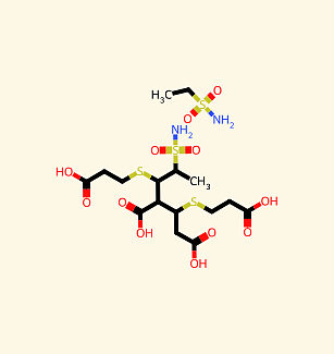 CC(C(SCCC(=O)O)C(C(=O)O)C(CC(=O)O)SCCC(=O)O)S(N)(=O)=O.CCS(N)(=O)=O